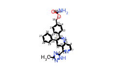 Cc1n[nH]c(-c2nccc3nc(-c4ccc(COC(N)=O)cc4)c(-c4ccccc4)cc23)n1